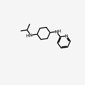 CC(C)NC1CCC(Nc2ccccn2)CC1